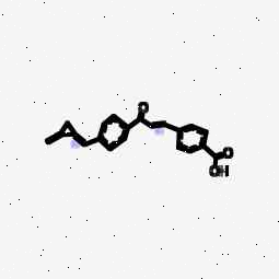 C=C1C/C1=C\c1ccc(C(=O)/C=C/c2ccc(C(=O)O)cc2)cc1